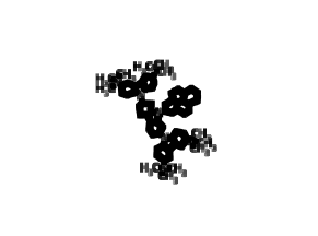 C[Si](C)(C)c1ccc2c(c1)c1cc([Si](C)(C)C)ccc1n2-c1ccc2c3ccc(-n4c5ccc([Si](C)(C)C)cc5c5cc([Si](C)(C)C)ccc54)cc3n(-c3cc4ccc5cccc6ccc(c3)c4c56)c2c1